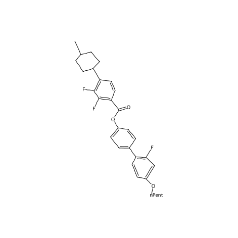 CCCCCOc1ccc(-c2ccc(OC(=O)c3ccc(C4CCC(C)CC4)c(F)c3F)cc2)c(F)c1